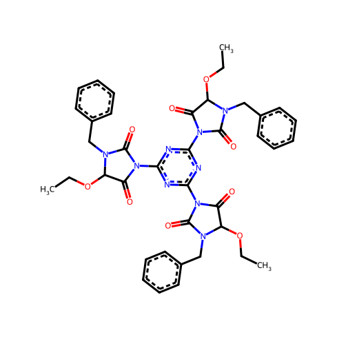 CCOC1C(=O)N(c2nc(N3C(=O)C(OCC)N(Cc4ccccc4)C3=O)nc(N3C(=O)C(OCC)N(Cc4ccccc4)C3=O)n2)C(=O)N1Cc1ccccc1